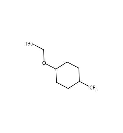 CC(C)(C)COC1CCC(C(F)(F)F)CC1